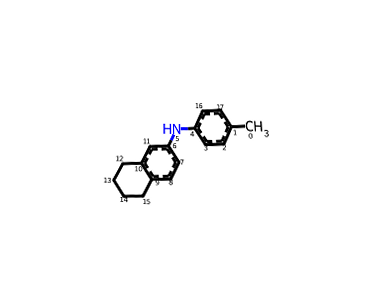 Cc1ccc(Nc2ccc3c(c2)CCCC3)cc1